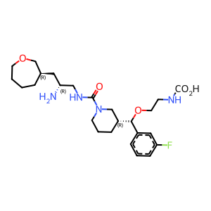 N[C@@H](CNC(=O)N1CCC[C@@H](C(OCCNC(=O)O)c2cccc(F)c2)C1)C[C@H]1CCCCOC1